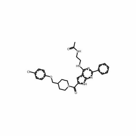 CC(=O)NCCNc1nc(-c2ccccc2)nc2[nH]c(C(=O)N3CCC(COc4ccc(Cl)cc4)CC3)cc12